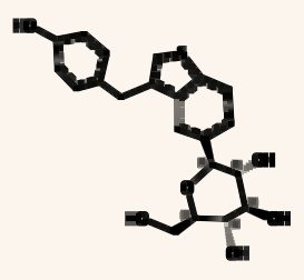 OC[C@H]1O[C@@H](c2ccc3scc(Cc4ccc(O)cc4)c3c2)[C@H](O)[C@@H](O)[C@@H]1O